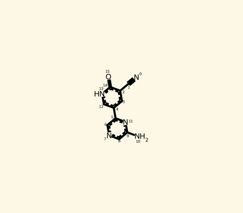 N#Cc1cc(-c2cncc(N)n2)c[nH]c1=O